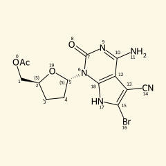 CC(=O)OC[C@@H]1[CH][CH][C@@H](n2c(=O)nc(N)c3c(C#N)c(Br)[nH]c32)O1